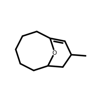 CC1C=C2CCCCCC(C1)O2